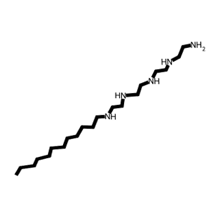 CCCCCCCCCCCCNCCNCCNCCNCCN